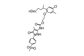 CCCCCCCCCCCCC(C)c1cc(Cl)c(C)cc1OCCOC(=O)Nc1[nH]n(-c2ccc(S(C)(=O)=O)cc2)c(=O)c1C